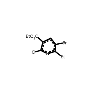 CCOC(=O)c1cc(Br)c(CC)nc1Cl